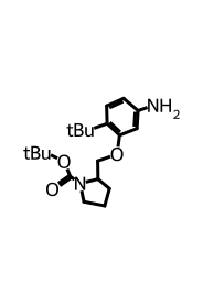 CC(C)(C)OC(=O)N1CCCC1COc1cc(N)ccc1C(C)(C)C